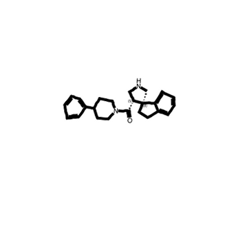 O=C([C@@H]1CNC[C@]12CCc1ccccc12)N1CCC(c2ccccc2)CC1